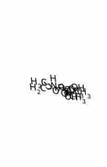 C=C/C=C\C(=C/C=C)NC(=O)c1cccc(S(=O)(=O)N(O)C(C)(C)CC(C)(C)O)c1